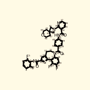 O=C(Nc1c(F)cccc1F)c1cc2c(s1)-c1c(ccc(F)c1F)N(C(=O)c1ccc(NC(=O)c3cccnc3N3CC4(CCOCC4)C3)cc1)CC2